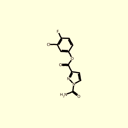 NC(=O)n1ccc(C(=O)Oc2ccc(F)c(Cl)c2)n1